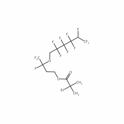 CCC(C)(C)C(=O)OCCC(F)(OCC(F)(F)C(F)(F)C(F)(F)C(F)C(F)(F)F)C(F)(F)F